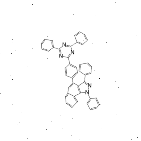 c1ccc(-c2nc(-c3ccccc3)nc(-c3ccc(-c4cc5ccccc5c5c4c(-c4ccccc4)nn5-c4ccccc4)cc3)n2)cc1